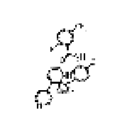 CNC1(Oc2ccc(Cl)c(NC(=O)c3cc(C(F)(F)F)ccc3F)c2)NC=CC=C1c1ccncc1